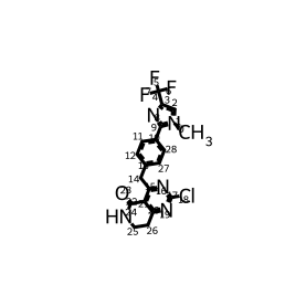 Cn1cc(C(F)(F)F)nc1-c1ccc(Cc2nc(Cl)nc3c2C(=O)NCC3)cc1